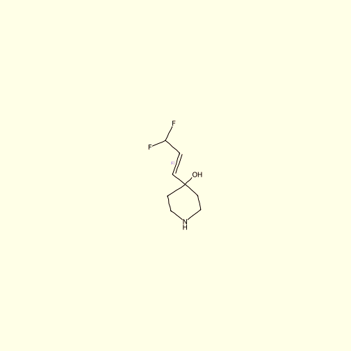 OC1(/C=C/C(F)F)CCNCC1